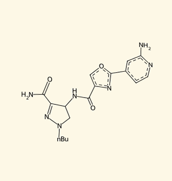 CCCCN1CC(NC(=O)c2coc(-c3ccnc(N)c3)n2)C(C(N)=O)=N1